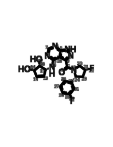 O=C(c1n[nH]c2ncnc(N[C@@H]3C=C[C@@H](O)[C@H]3O)c12)N1C[C@@H](F)C[C@@H]1c1cccc(F)c1